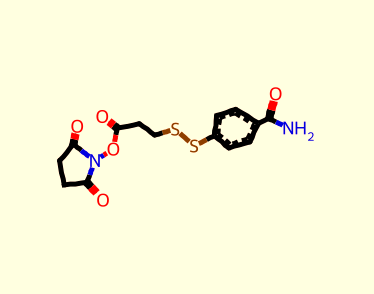 NC(=O)c1ccc(SSCCC(=O)ON2C(=O)CCC2=O)cc1